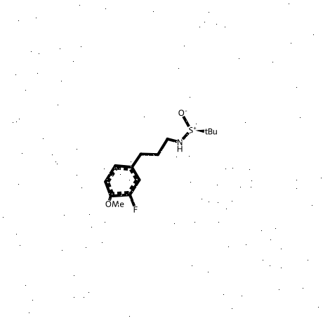 COc1ccc(CCCN[S@@+]([O-])C(C)(C)C)cc1F